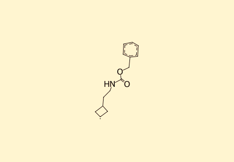 O=C(NCCC1C[CH]C1)OCc1ccccc1